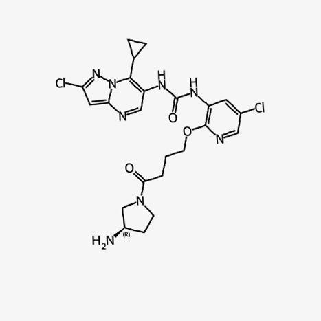 N[C@@H]1CCN(C(=O)CCCOc2ncc(Cl)cc2NC(=O)Nc2cnc3cc(Cl)nn3c2C2CC2)C1